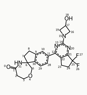 O=C1CCOCC2(CCc3cc(-c4nc(N5CC(O)C5)nc5c4CCC5(F)F)ccc32)N1